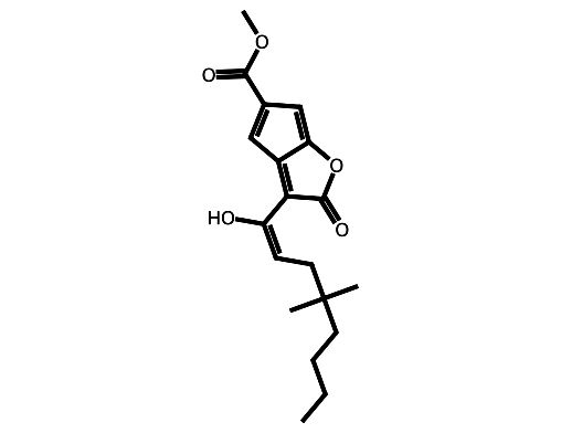 CCCCC(C)(C)C/C=C(/O)C1=C2C=C(C(=O)OC)C=C2OC1=O